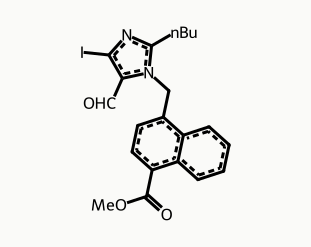 CCCCc1nc(I)c(C=O)n1Cc1ccc(C(=O)OC)c2ccccc12